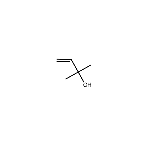 [CH]=CC(C)(C)O